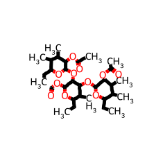 CCC1OC(OC2C(OC=O)OC(CC)C(C)C2OC2OC(CC)C(C)C(C)C2OC(C)=O)C(OC(C)=O)C(C)C1C